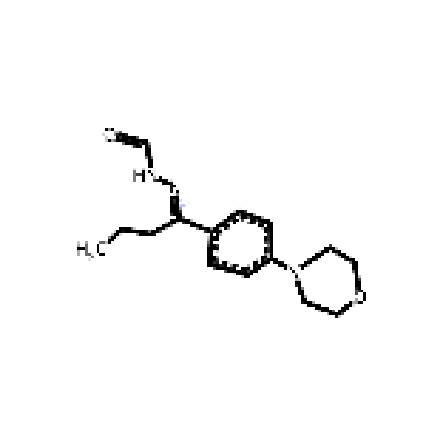 CCC/C(=N\NC=O)c1ccc(N2CCOCC2)cc1